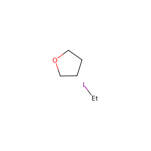 C1CCOC1.CCI